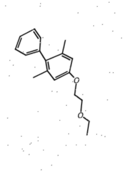 CCOCCOc1cc(C)c(-c2[c]cccc2)c(C)c1